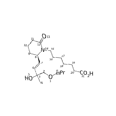 CCCOCC(C)(O)/C=C/[C@H]1CCCC(=O)N1CCCCCCC(=O)O